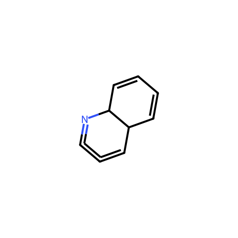 C1=C=NC2C=CC=CC2C=1